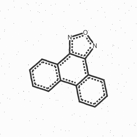 c1ccc2c(c1)c1ccccc1c1nonc21